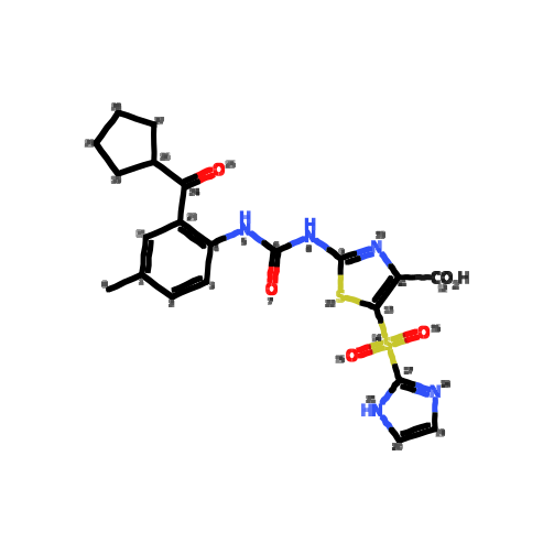 Cc1ccc(NC(=O)Nc2nc(C(=O)O)c(S(=O)(=O)c3ncc[nH]3)s2)c(C(=O)C2CCCC2)c1